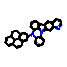 C1=CC2=CCc3cc(N4c5ccccc5-n5c6cc7ncccc7cc6c6cccc4c65)cc4c3C2C(=C1)C=C4